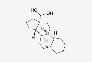 OC(O)[C@@]12CCC[C@H]1[C@@H]1CC=C3CCCC[C@@H]3[C@H]1CC2